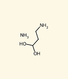 N.NCCC(O)O